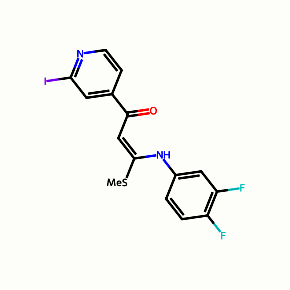 CS/C(=C/C(=O)c1ccnc(I)c1)Nc1ccc(F)c(F)c1